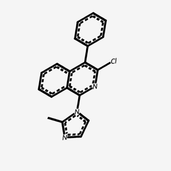 Cc1nccn1-c1nc(Cl)c(-c2ccccc2)c2ccccc12